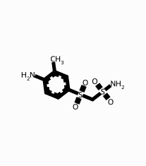 Cc1cc(S(=O)(=O)CS(N)(=O)=O)ccc1N